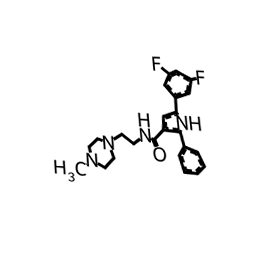 CN1CCN(CCNC(=O)c2cc(-c3cc(F)cc(F)c3)[nH]c2-c2ccccc2)CC1